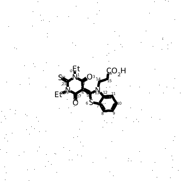 CCN1C(=O)C(=C2Sc3ccccc3N2CCC(=O)O)C(=O)N(CC)C1=S